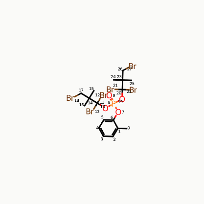 Cc1ccccc1OP(=O)(OC(Br)(Br)C(C)(C)CBr)OC(Br)(Br)C(C)(C)CBr